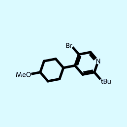 COC1CCC(c2cc(C(C)(C)C)ncc2Br)CC1